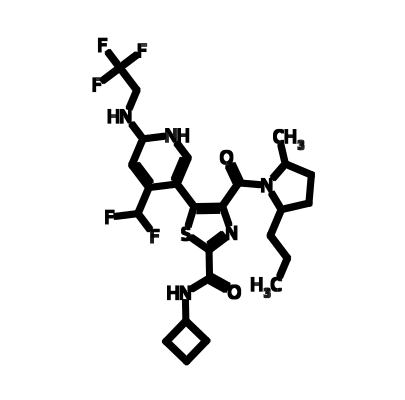 CCCC1CCC(C)N1C(=O)c1nc(C(=O)NC2CCC2)sc1C1=CNC(NCC(F)(F)F)C=C1C(F)F